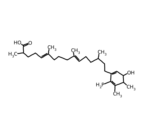 CC1=C(P)C(CCC(C)CC/C=C(\C)CCC/C(C)=C/CCC(C)C(=O)O)=CC(O)C1C